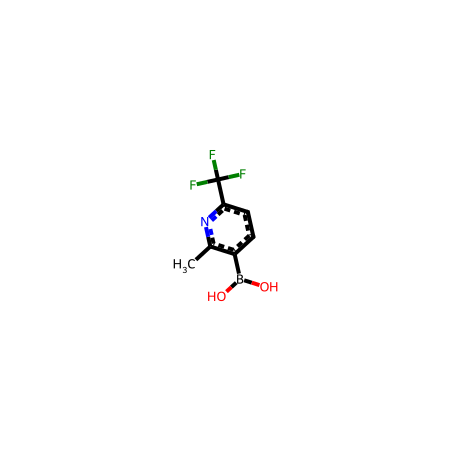 Cc1nc(C(F)(F)F)ccc1B(O)O